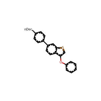 CCCCCCCCCCc1ccc(-c2ccc3c(Oc4ccccc4)csc3c2)cc1